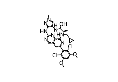 C=CC(O)Nc1cn(C)nc1Nc1ncc2cc(-c3c(Cl)c(OC)cc(OC)c3Cl)nc(NCC3CC3)c2n1